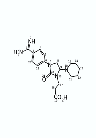 N=C(N)c1ccc(N2CC(N3CCCCC3)N(CCC(=O)O)C2=O)cc1